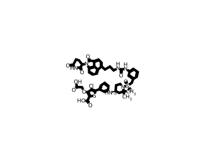 CC1(C)C[C@@H](Nc2cccc(-c3sc(C(=O)O)c(OCC(=O)O)c3Cl)c2)CCN1S(=O)(=O)Cc1cccc(NC(=O)NCCCc2ccc3c4c(cccc24)N(C2CCC(=O)NC2=O)C3=O)c1